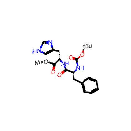 COC(=O)[C@H](Cc1c[nH]cn1)NC(=O)[C@H](Cc1ccccc1)NC(=O)OC(C)(C)C